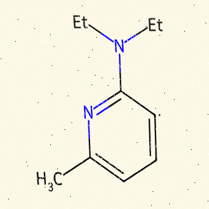 CCN(CC)c1[c]ccc(C)n1